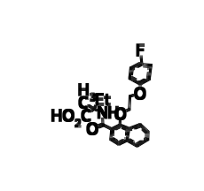 CCC(C)(NC(=O)c1ccc2ccccc2c1OCCOc1ccc(F)cc1)C(=O)O